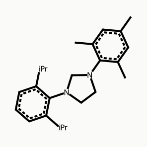 Cc1cc(C)c(N2CCN(c3c(C(C)C)cccc3C(C)C)C2)c(C)c1